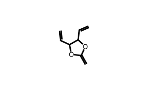 C=CC1OC(=C)OC1C=C